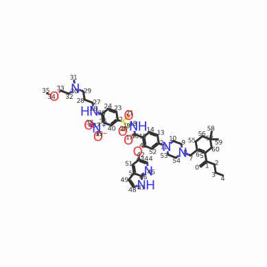 C=C(CCC)C1=C(CN2CCN(c3ccc(C(=O)NS(=O)(=O)c4ccc(NCCCN(C)CCOC)c([N+](=O)[O-])c4)c(Oc4cnc5[nH]ccc5c4)c3)CC2)CCC(C)(C)C1